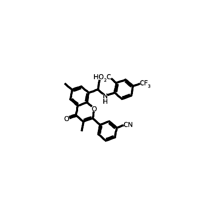 Cc1cc(C(C)Nc2ccc(C(F)(F)F)cc2C(=O)O)c2oc(-c3cccc(C#N)c3)c(C)c(=O)c2c1